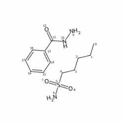 CCCCCS(N)(=O)=O.NNC(=O)c1ccccc1